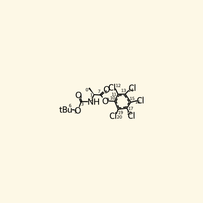 C[C@H](NC(=O)OC(C)(C)C)C(=O)Oc1c(Cl)c(Cl)c(Cl)c(Cl)c1Cl